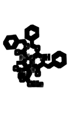 COC(=O)CC(NC(=O)[C@H](Cc1ccccc1)NC(=O)OCc1ccccc1)(C(C)NC(=O)OCc1ccccc1)[PH](=O)O